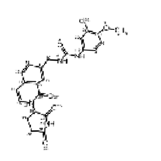 COc1ccc(NC(=O)NCc2ccc3ccn(C4CCC(=O)NC4=O)c(=O)c3c2)cc1Cl